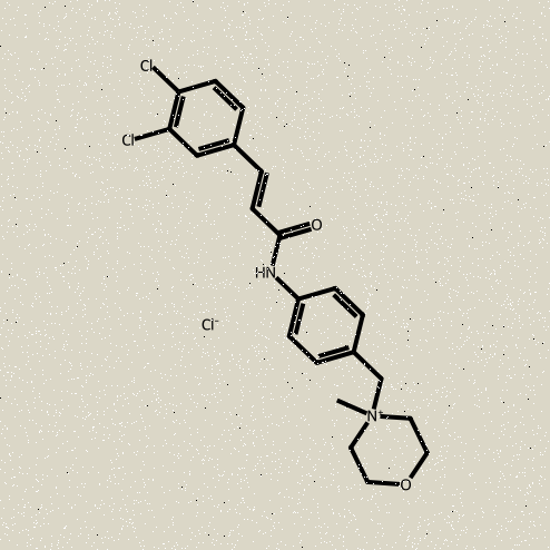 C[N+]1(Cc2ccc(NC(=O)C=Cc3ccc(Cl)c(Cl)c3)cc2)CCOCC1.[Cl-]